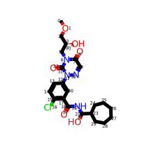 COC[C@H](O)Cn1c(=O)cnn(-c2ccc(Cl)c(C(=O)NC(O)C3CCCCCC3)c2)c1=O